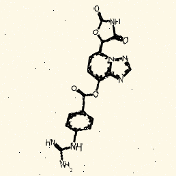 N=C(N)Nc1ccc(C(=O)Oc2ccc(C3OC(=O)NC3=O)n3ncnc23)cc1